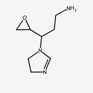 NCCC(C1CO1)N1C=NCC1